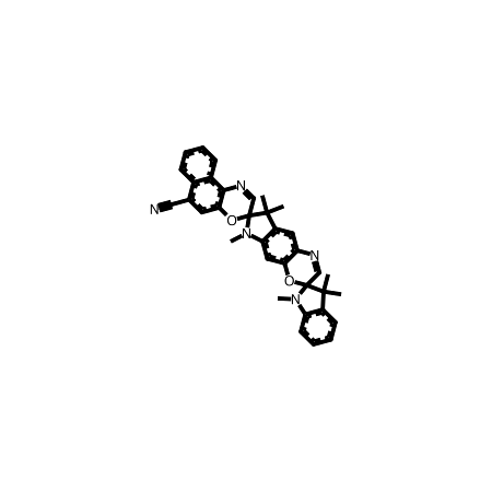 CN1c2ccccc2C(C)(C)C12C=Nc1cc3c(cc1O2)N(C)C1(C=Nc2c(cc(C#N)c4ccccc24)O1)C3(C)C